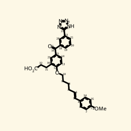 COc1ccc(/C=C/CCCCOc2ccc(C(=O)c3cccc(-c4nnn[nH]4)c3)cc2CCC(=O)O)cc1